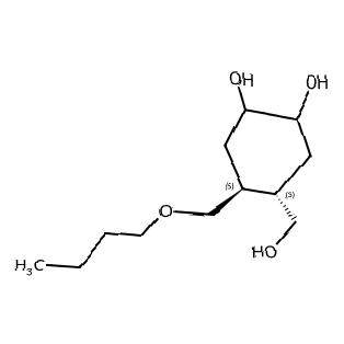 CCCCOC[C@H]1CC(O)C(O)C[C@@H]1CO